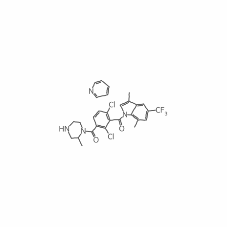 Cc1cn(C(=O)c2c(Cl)ccc(C(=O)N3CCNCC3C)c2Cl)c2c(C)cc(C(F)(F)F)cc12.c1ccncc1